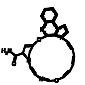 NC(=O)C1C=C2CN1/C=C\N=C/O\C=C/C=C\C=C/n1ccc3c4ccccc4nc(c31)O2